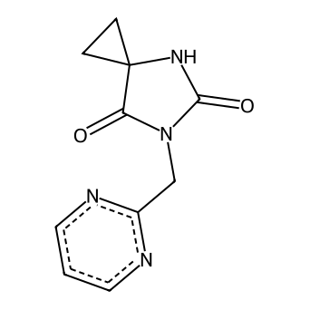 O=C1NC2(CC2)C(=O)N1Cc1ncccn1